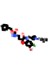 O=C(NCC[C@@H]1Oc2cc(Br)c(Cl)cc2N(CC2CN(C(=O)O)C2)C1=O)OCc1ccccc1